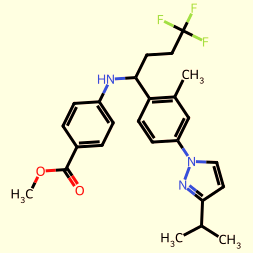 COC(=O)c1ccc(NC(CCC(F)(F)F)c2ccc(-n3ccc(C(C)C)n3)cc2C)cc1